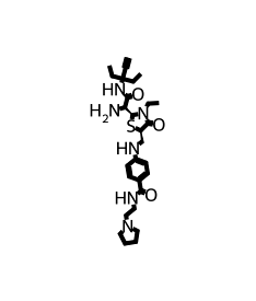 C#CC(CC)(CC)NC(=O)C(N)[C@@H]1S[C@H](CNc2ccc(C(=O)NCCN3CCCC3)cc2)C(=O)N1CC